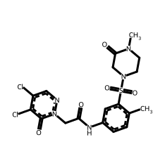 Cc1ccc(NC(=O)Cn2ncc(Cl)c(Cl)c2=O)cc1S(=O)(=O)N1CCN(C)C(=O)C1